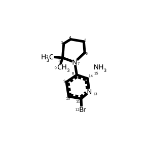 CC1(C)CCCCN1c1ccc(Br)nc1.N